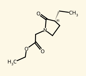 CCOC(=O)CN1CC[C@@H](CC)C1=O